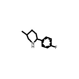 CC1CCC(c2ccc(F)cc2)NC1